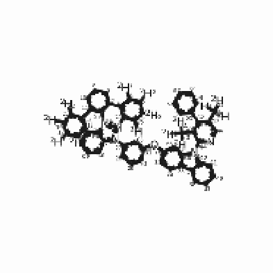 [2H]c1c([2H])c([2H])c(-c2cccc(-c3c([2H])c([2H])c([2H])c([2H])c3[2H])c2-[n+]2cn(-c3cccc(Oc4ccc5c6ccccc6n(-c6ncc(C([2H])([2H])[2H])c(-c7ccccc7)c6C([2H])([2H])[2H])c5c4)c3)c3ccccc32)c([2H])c1[2H]